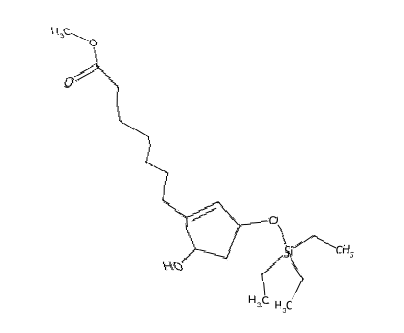 CC[Si](CC)(CC)OC1C=C(CCCCCCC(=O)OC)C(O)C1